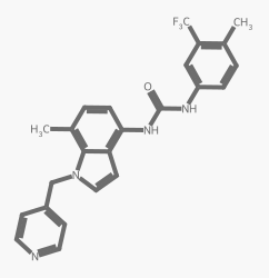 Cc1ccc(NC(=O)Nc2ccc(C)c3c2ccn3Cc2ccncc2)cc1C(F)(F)F